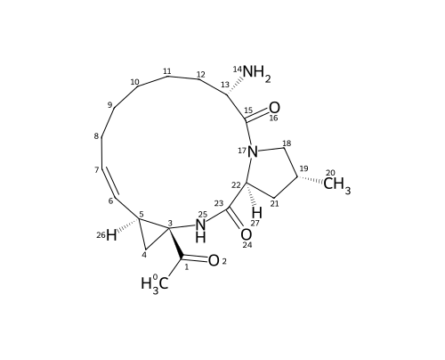 CC(=O)[C@@]12C[C@H]1/C=C\CCCCC[C@H](N)C(=O)N1C[C@H](C)C[C@H]1C(=O)N2